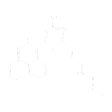 Nc1nc(SCCNC(=O)CO)cc(-c2c(Cl)cc3c4c(cccc24)COC3)n1